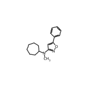 CN(c1cc(-c2ccccc2)on1)C1CCCCCC1